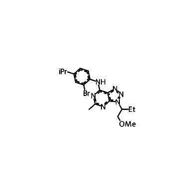 CCC(COC)n1nnc2c(Nc3ccc(C(C)C)cc3Br)nc(C)nc21